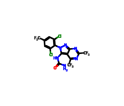 NC(=O)Nc1c2c(C(F)(F)F)nc(C(F)(F)F)nc2nn1-c1c(Cl)cc(C(F)(F)F)cc1Cl